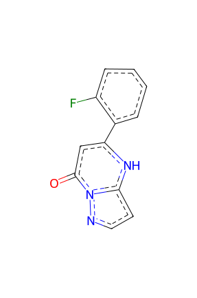 O=c1cc(-c2ccccc2F)[nH]c2ccnn12